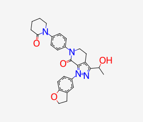 CC(O)c1nn(-c2ccc3c(c2)CCO3)c2c1CCN(c1ccc(N3CCCCC3=O)cc1)C2=O